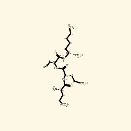 CC(C)C[C@H](NC(=O)[C@H](CCC(=O)O)NC(=O)[C@@H](N)CCC(=O)O)C(=O)N[C@H](CCCCN)C(=O)O